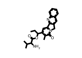 CCC(OC(=O)C(N)C(C)C)c1cc2n(c(=O)c1C)Cc1cc3ccccc3nc1-2